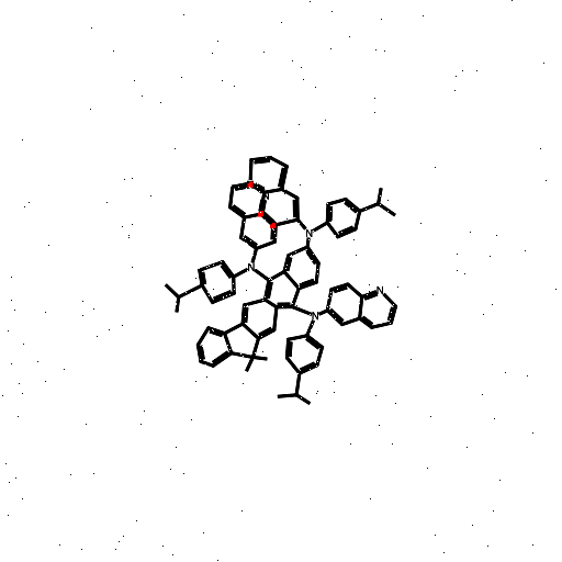 CC(C)c1ccc(N(c2ccc3ncccc3c2)c2ccc3c(N(c4ccc(C(C)C)cc4)c4ccc5ncccc5c4)c4cc5c(cc4c(N(c4ccc(C(C)C)cc4)c4ccc6ncccc6c4)c3c2)-c2ccccc2C5(C)C)cc1